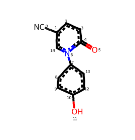 N#Cc1ccc(=O)n(-c2ccc(O)cc2)c1